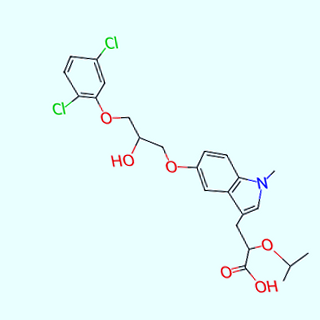 CC(C)OC(Cc1cn(C)c2ccc(OCC(O)COc3cc(Cl)ccc3Cl)cc12)C(=O)O